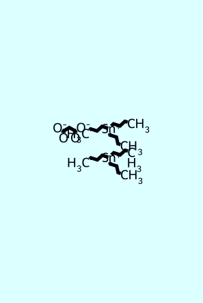 CCC[CH2][Sn+]([CH2]CCC)[CH2]CCC.CCC[CH2][Sn+]([CH2]CCC)[CH2]CCC.O=C([O-])CC(=O)[O-]